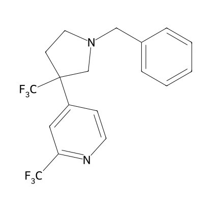 FC(F)(F)c1cc(C2(C(F)(F)F)CCN(Cc3ccccc3)C2)ccn1